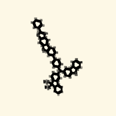 CC1(C)c2ccccc2-c2cc(N(c3ccc(-c4ccc5c(c4)oc4cc6oc(-c7ccccc7)nc6cc45)cc3)c3ccc4oc5ccccc5c4c3)ccc21